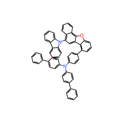 c1ccc(-c2ccc(N(c3ccc(-c4ccccc4)cc3)c3ccc(-c4cccc5oc6c7ccccc7c(-n7c8ccccc8c8ccccc87)cc6c45)cc3)cc2)cc1